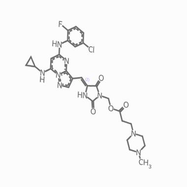 CN1CCN(CCC(=O)OCN2C(=O)N/C(=C\c3cnn4c(NC5CC5)cc(Nc5cc(Cl)ccc5F)nc34)C2=O)CC1